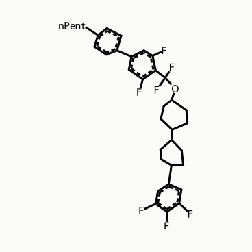 CCCCCc1ccc(-c2cc(F)c(C(F)(F)OC3CCC(C4CCC(c5cc(F)c(F)c(F)c5)CC4)CC3)c(F)c2)cc1